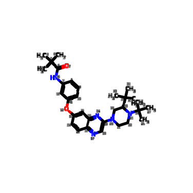 CC(C)(C)C(=O)Nc1cccc(Oc2ccc3ncc(N4CCN(C(C)(C)C)C(C(C)(C)C)C4)nc3c2)c1